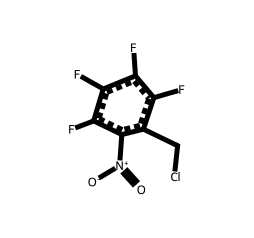 O=[N+]([O-])c1c(F)c(F)c(F)c(F)c1CCl